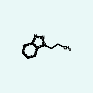 CCCn1nnc2[c]cccc21